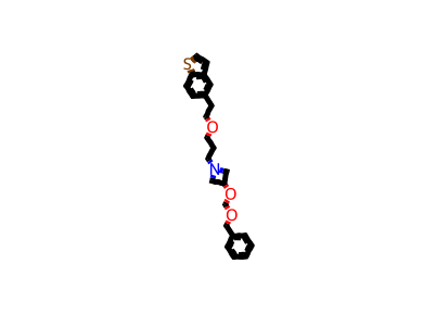 c1ccc(COCOC2CN(CCCOCCc3ccc4sccc4c3)C2)cc1